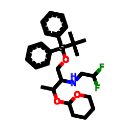 CC(OC1CCCCO1)C(CO[Si](c1ccccc1)(c1ccccc1)C(C)(C)C)NCC(F)F